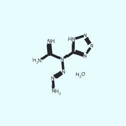 N=C(N)N(N=NN)c1nnn[nH]1.O